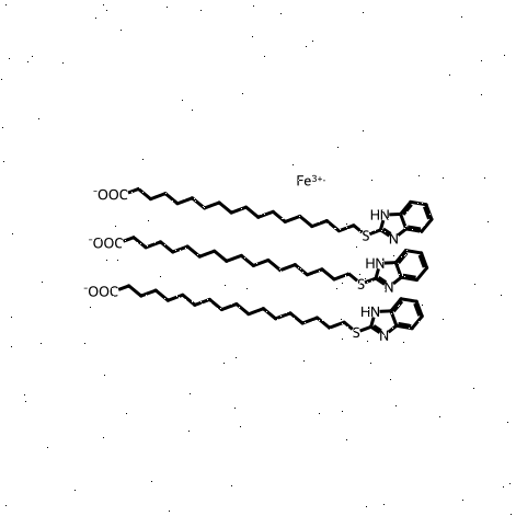 O=C([O-])CCCCCCCCCCCCCCCCCSc1nc2ccccc2[nH]1.O=C([O-])CCCCCCCCCCCCCCCCCSc1nc2ccccc2[nH]1.O=C([O-])CCCCCCCCCCCCCCCCCSc1nc2ccccc2[nH]1.[Fe+3]